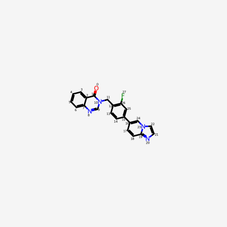 O=c1c2ccccc2ncn1Cc1ccc(-c2ccc3nccn3c2)cc1F